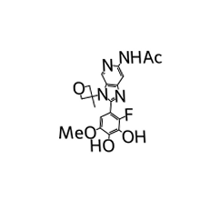 COc1cc(-c2nc3cc(NC(C)=O)ncc3n2C2(C)COC2)c(F)c(O)c1O